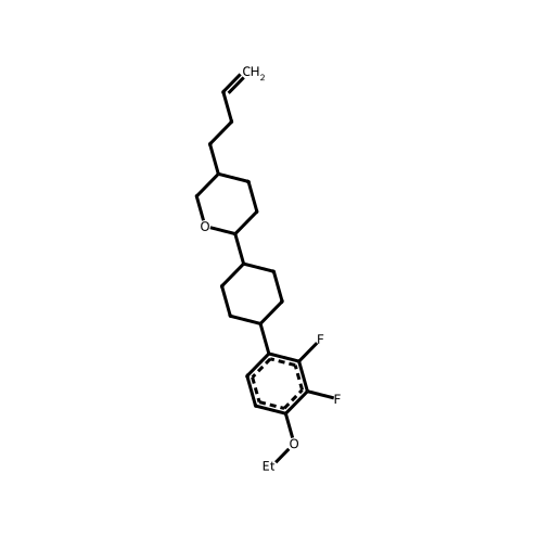 C=CCCC1CCC(C2CCC(c3ccc(OCC)c(F)c3F)CC2)OC1